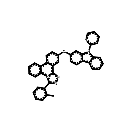 Cc1ccccc1-c1nnc2c3cc(Oc4ccc5c6ccccc6n(-c6ccccn6)c5c4)ccc3c3ccccc3n12